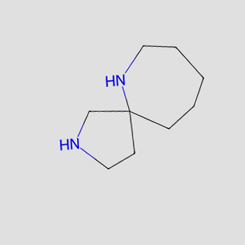 C1CCNC2(CC1)CCNC2